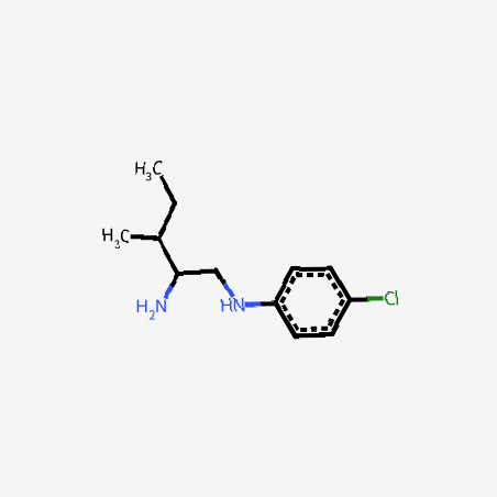 CCC(C)C(N)CNc1ccc(Cl)cc1